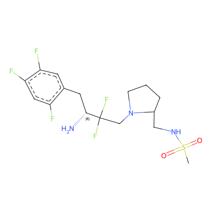 CS(=O)(=O)NCC1CCCN1CC(F)(F)[C@H](N)Cc1cc(F)c(F)cc1F